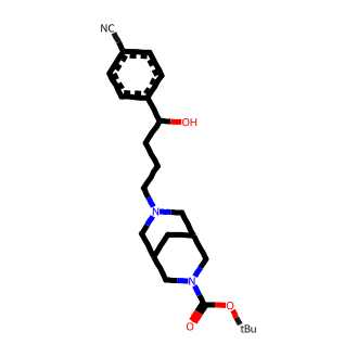 CC(C)(C)OC(=O)N1CC2CC(CN(CCCC(O)c3ccc(C#N)cc3)C2)C1